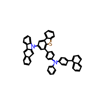 c1ccc(N(c2ccc(-c3cccc4ccccc34)cc2)c2ccc(-c3cc(-n4c5ccccc5c5cc6ccccc6cc54)cc4c3sc3ccccc34)cc2)cc1